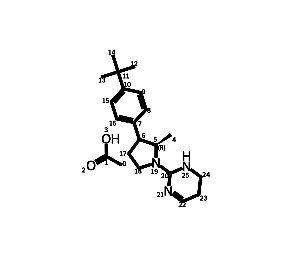 CC(=O)O.C[C@@H]1C(c2ccc(C(C)(C)C)cc2)CCN1C1N=CCCN1